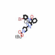 CC(C)(C)OC(=O)N1CCC(c2ncc3c(n2)N(c2cccc(Br)c2C#N)C(=O)C32CCCCC2)CC1